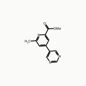 COC(=O)c1cc(-c2cncnc2)cc(C)n1